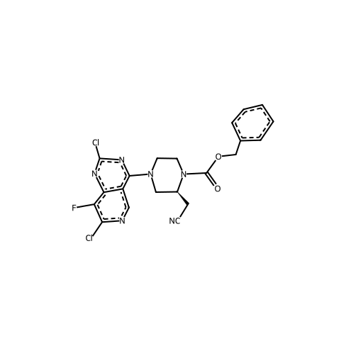 N#CC[C@H]1CN(c2nc(Cl)nc3c(F)c(Cl)ncc23)CCN1C(=O)OCc1ccccc1